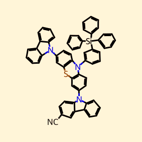 N#Cc1ccc2c(c1)c1ccccc1n2-c1ccc2c(c1)Sc1cc(-n3c4ccccc4c4ccccc43)ccc1N2c1cccc([Si](c2ccccc2)(c2ccccc2)c2ccccc2)c1